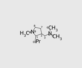 CC(C)C1C(CN(C)C)CCN1C